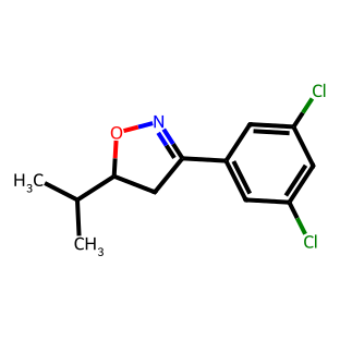 CC(C)C1CC(c2cc(Cl)cc(Cl)c2)=NO1